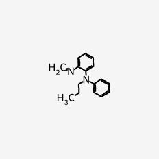 C=Nc1ccccc1N(CCC)c1ccccc1